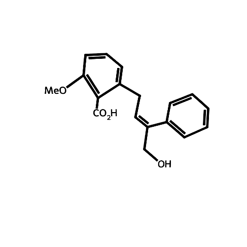 COc1cccc(CC=C(CO)c2ccccc2)c1C(=O)O